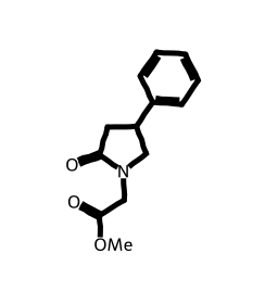 COC(=O)CN1CC(c2ccccc2)CC1=O